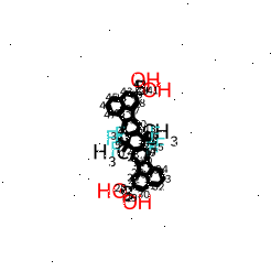 CC1(C(F)(F)F)c2cc3c(cc2C(C)(C(F)(F)F)c2cc4c(cc21)-c1cc(B(O)O)cc2cccc-4c12)-c1cc(B(O)O)cc2cccc-3c12